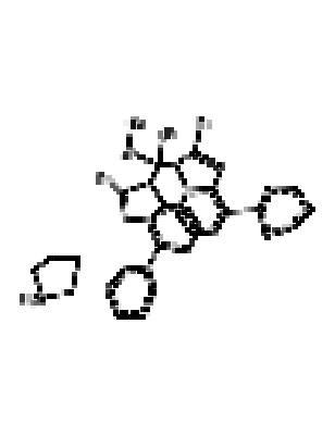 C1CC[SiH2]C1.CCC[CH2][Zr][C](CCC)(C1C(CC)=Cc2c(-c3ccccc3)cccc21)C1C(CC)=Cc2c(-c3ccccc3)cccc21